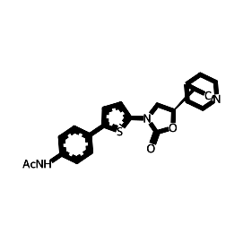 CC(=O)Nc1ccc(-c2ccc(N3C[C@@H](C4CN5CCC4CC5)OC3=O)s2)cc1